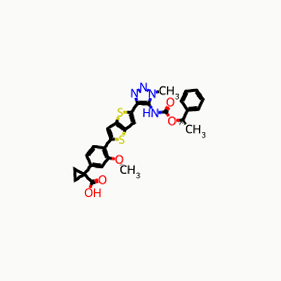 COc1cc(C2(C(=O)O)CC2)ccc1-c1cc2sc(-c3nnn(C)c3NC(=O)O[C@H](C)c3ccccc3)cc2s1